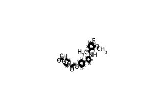 COc1cc([C@@H](C)N[C@H]2CC[C@@H](c3ccc(OCC(=O)N4CCN(C(C)=O)CC4)cc3)C2)ccc1F